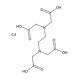 O=C(O)CN(CCN(CC(=O)O)CC(=O)O)CC(=O)O.[Cd]